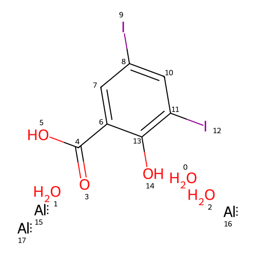 O.O.O.O=C(O)c1cc(I)cc(I)c1O.[Al].[Al].[Al]